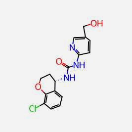 O=C(Nc1ccc(CO)cn1)N[C@H]1CCOc2c(Cl)cccc21